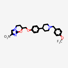 O=[N+]([O-])c1cn2c(n1)OC(COc1ccc(C3CCN(Cc4ccc(OC(F)(F)F)cc4)CC3)cc1)CC2